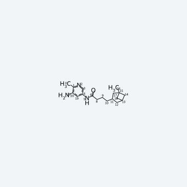 Cc1ncc(NC(=O)CCCC2CC3CC(C)(C2)C3)cc1N